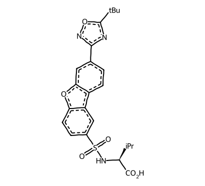 CC(C)[C@H](NS(=O)(=O)c1ccc2oc3cc(-c4noc(C(C)(C)C)n4)ccc3c2c1)C(=O)O